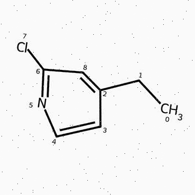 CCc1ccnc(Cl)c1